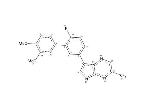 COc1ccc(-c2cc(-c3cnc4nc(C(F)(F)F)cnn34)ccc2F)cc1OC